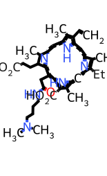 C=Cc1c(C)c2cc3nc(c(CC(=O)NCCCCN(C)C)c4[nH]c(cc5nc(cc1[nH]2)C(C)=C5CC)c(C)c4C(=O)O)C(CCC(=O)O)C3C